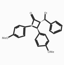 CCC(c1ccccc1)[C@H]1C(=O)N(c2ccc(OC)cc2)[C@@H]1c1ccc(OC)cc1